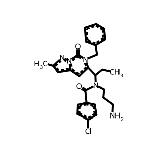 CCC(c1cc2cc(C)nn2c(=O)n1Cc1ccccc1)N(CCCN)C(=O)c1ccc(Cl)cc1